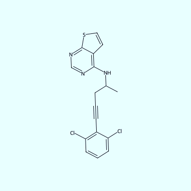 CC(CC#Cc1c(Cl)cccc1Cl)Nc1ncnc2sccc12